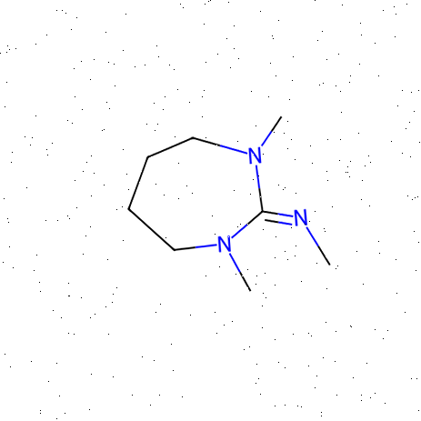 CN=C1N(C)CCCCN1C